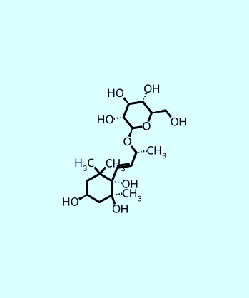 C[C@H](/C=C/[C@]1(O)C(C)(C)C[C@H](O)C[C@]1(C)O)O[C@@H]1O[C@H](CO)[C@@H](O)[C@H](O)[C@H]1O